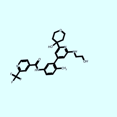 Cc1ccc(NC(=O)c2ccnc(C(F)(F)F)c2)cc1-c1cc(NCCO)nc(C2(O)CCOCC2)c1